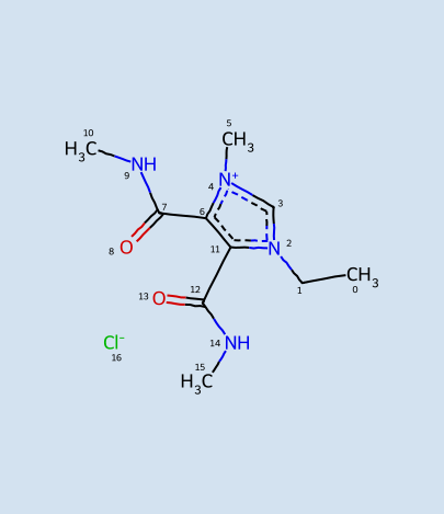 CCn1c[n+](C)c(C(=O)NC)c1C(=O)NC.[Cl-]